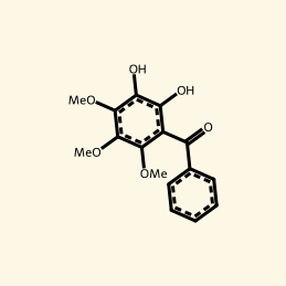 COc1c(O)c(O)c(C(=O)c2ccccc2)c(OC)c1OC